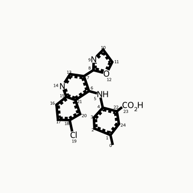 Cc1ccc(Nc2c(-c3ncco3)cnc3ccc(Cl)cc23)c(C(=O)O)c1